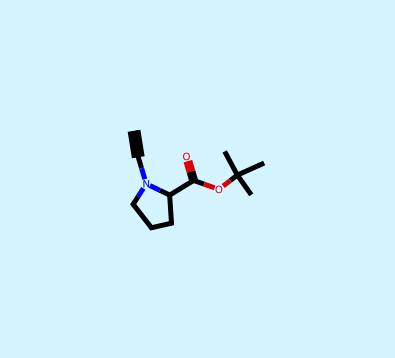 [C]#CN1CCCC1C(=O)OC(C)(C)C